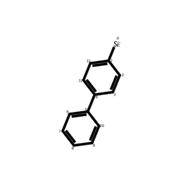 [Si]c1ccc(-c2ccccc2)cc1